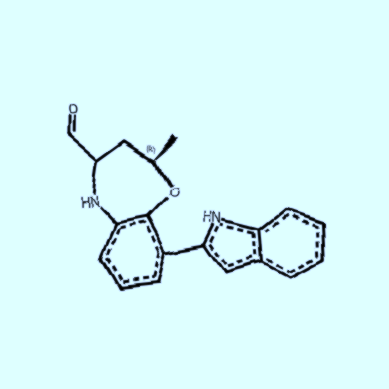 C[C@@H]1CC(C=O)Nc2cccc(-c3cc4ccccc4[nH]3)c2O1